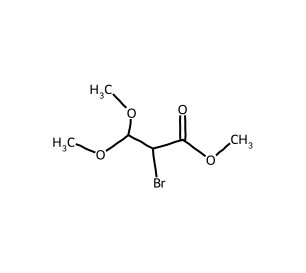 COC(=O)C(Br)C(OC)OC